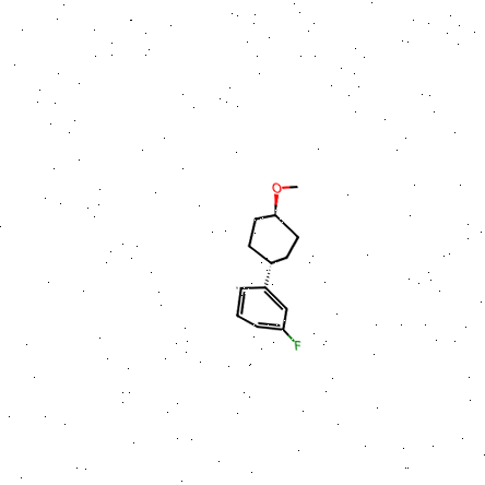 CO[C@H]1CC[C@H](c2[c]ccc(F)c2)CC1